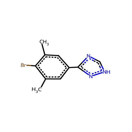 Cc1cc(-c2nc[nH]n2)cc(C)c1Br